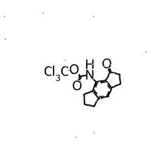 O=C(Nc1c2c(cc3c1C(=O)CC3)CCC2)OC(Cl)(Cl)Cl